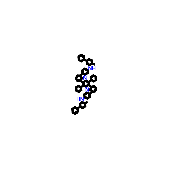 Cc1ccc(-c2ccccc2)cc1Nc1ccc2c3cccc4c5c(-c6ccccc6)c6c(c(-c7ccccc7)c5n(c2c1)c34)c1cccc2c3ccc(Nc4cc(-c5ccccc5)ccc4C)cc3n6c21